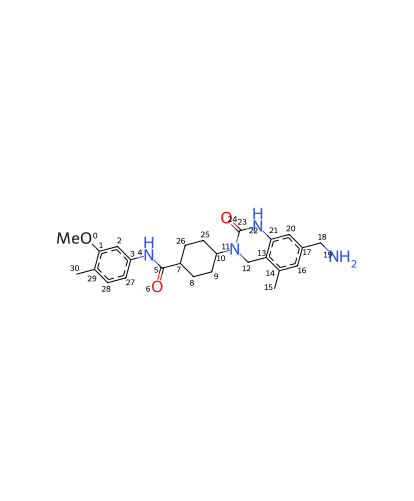 COc1cc(NC(=O)C2CCC(N3Cc4c(C)cc(CN)cc4NC3=O)CC2)ccc1C